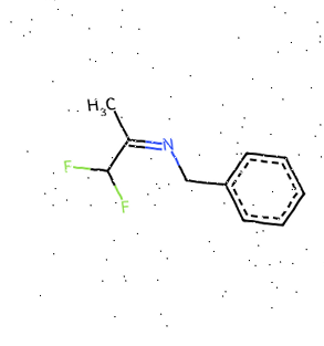 C/C(=N/Cc1ccccc1)C(F)F